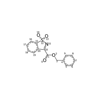 O=C(OCc1ccccc1)C1=NS(=O)(=O)c2ccccc21